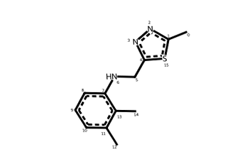 Cc1nnc(CNc2cccc(C)c2C)s1